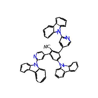 N#Cc1c(-c2ccnc(-n3c4ccccc4c4ccccc43)c2)cc(-n2c3ccccc3c3ccccc32)cc1-c1ccnc(-n2c3ccccc3c3ccccc32)c1